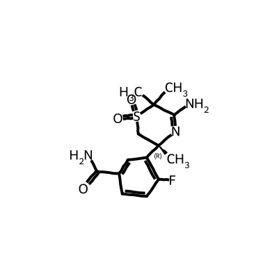 CC1(C)C(N)=N[C@](C)(c2cc(C(N)=O)ccc2F)CS1(=O)=O